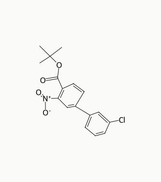 CC(C)(C)OC(=O)c1ccc(-c2cccc(Cl)c2)cc1[N+](=O)[O-]